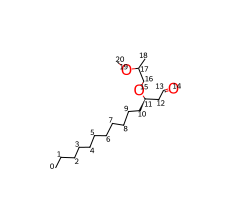 CCCCCCCCCCC[C@H](CC=O)OCC(C)OC